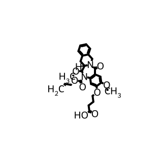 C=CCOC(=O)N1c2cc(OCCCC(=O)O)c(OC)cc2C(=O)N2Cc3ccccc3C[C@H]2C1OC